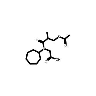 CC(=O)SCC(C)C(=O)N(CC(=O)O)C1CCCCCC1